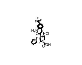 C[C@@H]1[C@H](CN2CCCC2)N(C(=O)Cc2ccc(C(F)(F)F)cc2N)CCN1C(=O)O.Cl